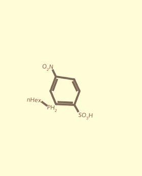 CCCCCCP.O=[N+]([O-])c1ccc(S(=O)(=O)O)cc1